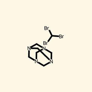 BrC(Br)Br.C1N2CN3CN1CN(C2)C3